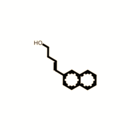 OCCC=Cc1ccc2ccccc2c1